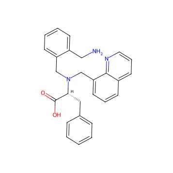 NCc1ccccc1CN(Cc1cccc2cccnc12)[C@H](Cc1ccccc1)C(=O)O